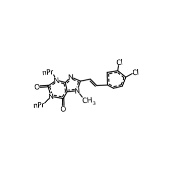 CCCn1c(=O)c2c(nc(C=Cc3ccc(Cl)c(Cl)c3)n2C)n(CCC)c1=O